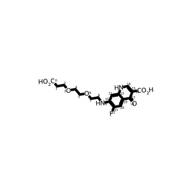 O=C(O)CCOCCOCCNc1cc2[nH]cc(C(=O)O)c(=O)c2cc1F